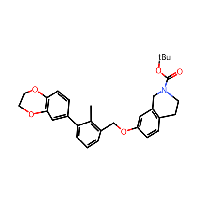 Cc1c(COc2ccc3c(c2)CN(C(=O)OC(C)(C)C)CC3)cccc1-c1ccc2c(c1)OCCO2